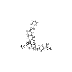 CC(C)CC(NC(=S)Nc1ccc(C(C)C)cc1)C(=O)NC(Cc1ccc(OCc2ccccc2)cc1)C(=O)O